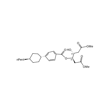 CCCCC[C@H]1CC[C@H](c2ccc(C(=O)O[C@H](CC(=O)OC)[C@H](O)CC(=O)OC)cc2)CC1